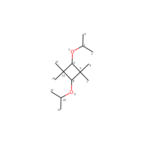 CC(C)OC1C(C)(C)C(OC(C)C)C1(C)C